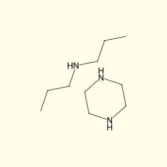 C1CNCCN1.CCCNCCC